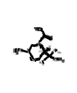 C[C@H]1CN(C(=O)O)[C@](C)(C(C)(C)C)CN1